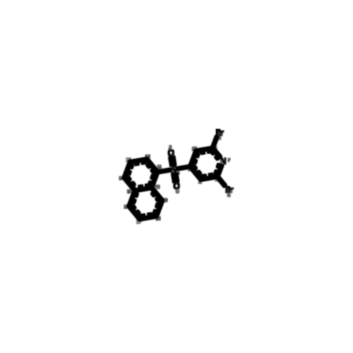 O=S(=O)(c1cc(Br)nc(Br)c1)c1cccc2ccccc12